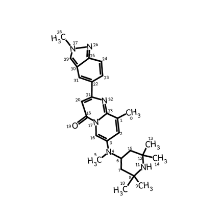 Cc1cc(N(C)C2CC(C)(C)NC(C)(C)C2)cn2c(=O)cc(-c3ccc4nn(C)cc4c3)nc12